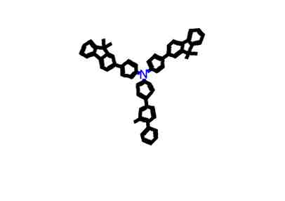 Cc1cc(-c2ccc(N(c3ccc(-c4ccc5c(c4)C(C)(C)c4ccccc4-5)cc3)c3ccc(-c4ccc5c(c4)C(C)(C)c4ccccc4-5)cc3)cc2)ccc1-c1ccccc1